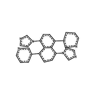 c1cncc(-c2ccc(-n3ccnc3)c3c(-c4cccnc4)ccc(-n4ccnc4)c23)c1